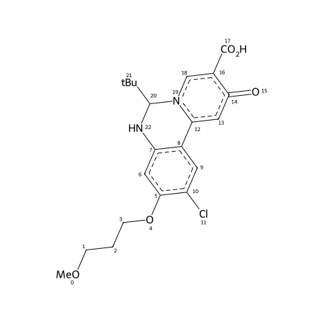 COCCCOc1cc2c(cc1Cl)-c1cc(=O)c(C(=O)O)cn1C(C(C)(C)C)N2